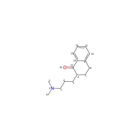 CN(C)CCCC1CCc2ccccc2C1=O